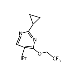 CC(C)c1cnc(C2CC2)nc1OCC(F)(F)F